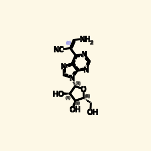 N#C/C(=C/N)c1ncnc2c1ncn2[C@@H]1O[C@H](CO)[C@@H](O)[C@H]1O